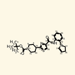 CC(C)(C)OC(=O)N1CCC(c2nc(C(=O)Nc3ccccc3N3C=CCC3)cs2)CC1